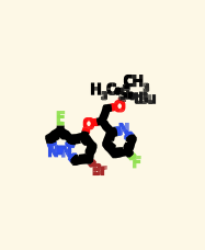 CC(C)(C)[Si](C)(C)OCC(Oc1cc(Br)cn2ncc(F)c12)c1ccc(F)cn1